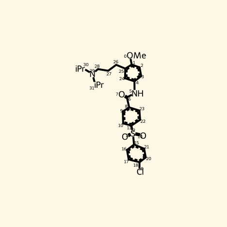 COc1ccc(NC(=O)c2ccc(S(=O)(=O)c3ccc(Cl)cc3)cc2)cc1CCCN(C(C)C)C(C)C